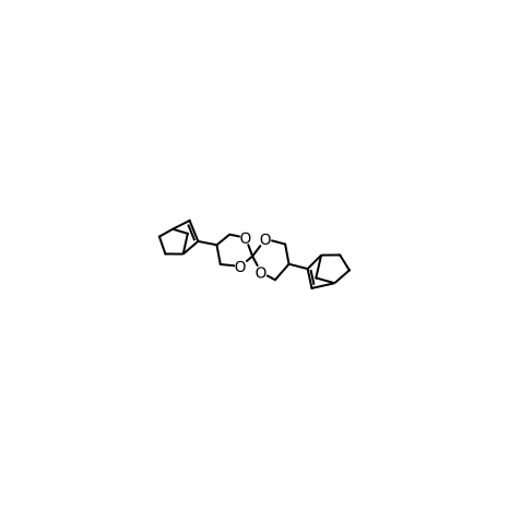 C1=C(C2COC3(OC2)OCC(C2=CC4CCC2C4)CO3)C2CCC1C2